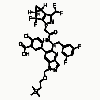 C[Si](C)(C)CCOCn1ncc2nc([C@H](Cc3cc(F)cc(F)c3)NC(=O)Cn3nc(C(F)F)c4c3C(F)(F)[C@@H]3C[C@H]43)c(-c3ccc(Cl)c(C(=O)O)c3)cc21